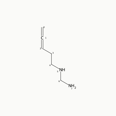 C=C=CCCNCN